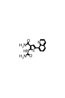 NC(=O)Nc1sc(-c2cccc3cccnc23)cc1C(N)=O